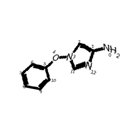 Nc1cn(Oc2ccccc2)cn1